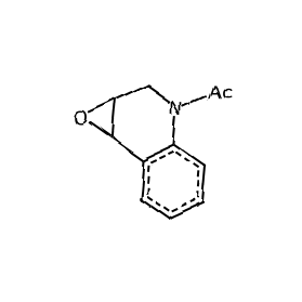 CC(=O)N1CC2OC2c2ccccc21